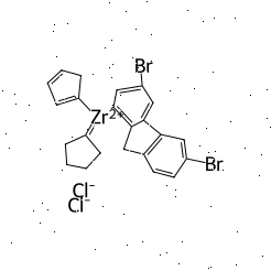 Brc1ccc2c(c1)-c1cc(Br)c[c]([Zr+2]([C]3=CC=CC3)=[C]3CCCC3)c1C2.[Cl-].[Cl-]